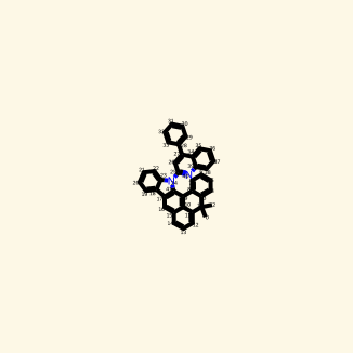 CC1(C)c2ccccc2-c2c3c1cccc3cc1c3ccccc3n(-c3cc(-c4ccccc4)c4ccccc4n3)c21